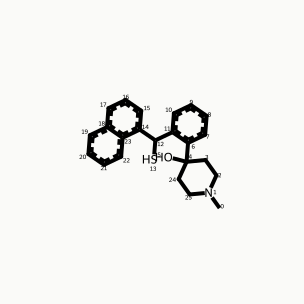 CN1CCC(O)(c2ccccc2C(S)c2cccc3ccccc23)CC1